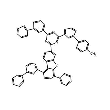 Cc1ccc(-c2cccc(-c3nc(-c4cccc(-c5ccccc5)c4)nc(-c4ccc5c(c4)oc4c(-c6ccccc6)ccc(-c6cccc(-c7ccccc7)c6)c45)n3)c2)cc1